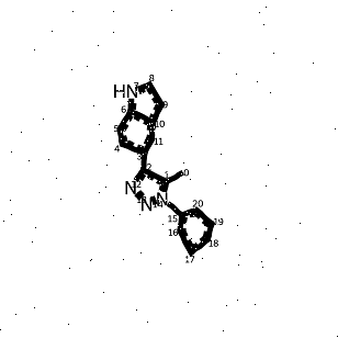 Cc1c(-c2ccc3[nH]ccc3c2)nnn1-c1ccccc1